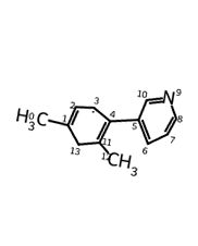 CC1=C[CH]C(c2cccnc2)=C(C)C1